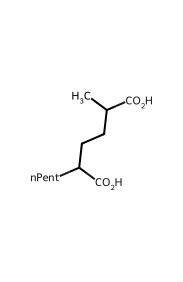 CCCCCC(CCC(C)C(=O)O)C(=O)O